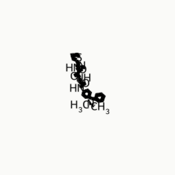 CN(C)C(c1ccccc1)C1CCC(NC(=O)CNC(=O)C2NC(c3cccs3)=NO2)CC1